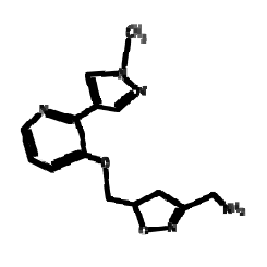 Cn1cc(-c2ncccc2OCC2CC(CN)=NO2)cn1